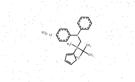 CC(C)(C)[Si](C)(CP(c1ccccc1)c1ccccc1)C1=CC=CC1.[Cl-].[Cl-].[Ti+2]